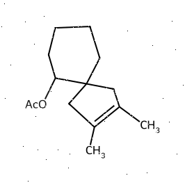 CC(=O)OC1CCCCC12CC(C)=C(C)C2